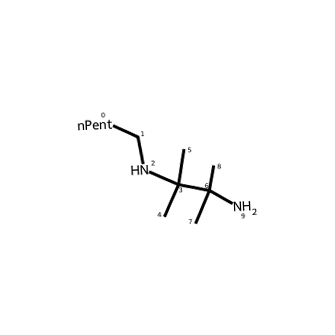 CCCCCCNC(C)(C)C(C)(C)N